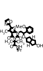 COc1ccccc1C(Cn1c(=O)n(C(C)(C)C(=O)NC(C)C)c(=O)c2c(C)c(-c3ncco3)sc21)O[C@H]1C[C@H]2C[C@@H](O)C[C@H]2C1